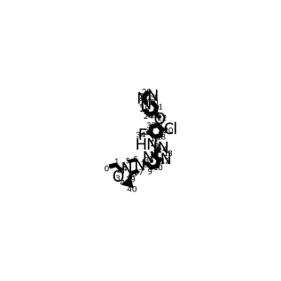 C=CC(=O)N1CCN(c2ccc3ncnc(Nc4cc(Cl)c(Oc5ccn6ncnc6c5)cc4F)c3n2)CC1C1CC1